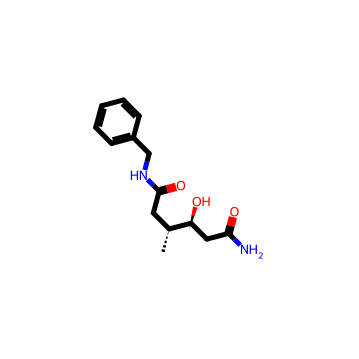 C[C@H](CC(=O)NCc1ccccc1)[C@@H](O)CC(N)=O